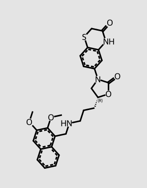 COc1cc2ccccc2c(CNCCC[C@@H]2CN(c3ccc4c(c3)NC(=O)CS4)C(=O)O2)c1OC